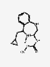 CC(C)(C)OC(=O)NC1CNc2ccccc2C(CC2CC2)[NH+]1[O-]